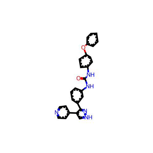 O=C(Nc1ccc(Oc2ccccc2)cc1)Nc1cccc(-c2n[nH]cc2-c2ccncc2)c1